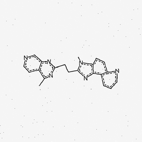 Cc1nc(CCc2nc3c4cccnc4ccc3n2C)nc2cnccc12